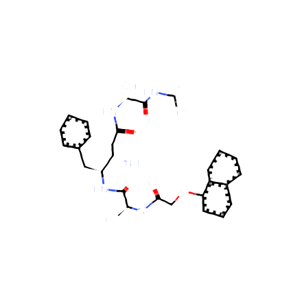 CC[C@H](C)[C@H](NC(=O)C[C@H](N)[C@H](Cc1ccccc1)NC(=O)[C@@H](NC(=O)COc1cccc2ccccc12)C(C)C)C(=O)N[C@H](C(=O)O)C(C)C